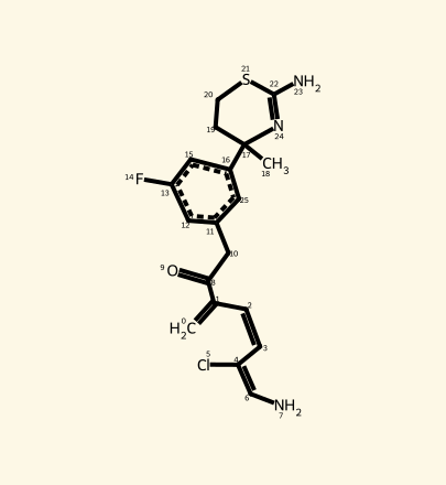 C=C(/C=C\C(Cl)=C/N)C(=O)Cc1cc(F)cc(C2(C)CCSC(N)=N2)c1